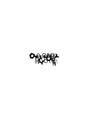 CC(=O)OCC1O[C@@H](O[Si](C)(C)C(C)(C)C(C)C)C(N=[N+]=[N-])[C@@H](C)[C@@H]1O[C@@H]1OC2COC(c3ccccc3)O[C@H]2[C@H](C)C1C